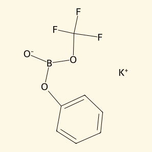 [K+].[O-]B(Oc1ccccc1)OC(F)(F)F